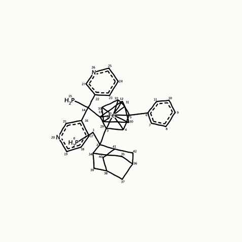 PCC1([C]23[CH]4[C]5(c6ccccc6)[CH]6[C]2(C(P)(c2cccnc2)c2cccnc2)[Fe]64532789[CH]3[CH]2[CH]7[CH]8[CH]39)C2CC3CC(C2)CC1C3